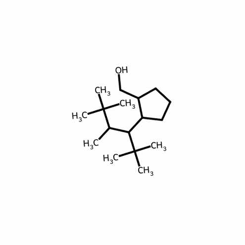 CC(C(C1CCCC1CO)C(C)(C)C)C(C)(C)C